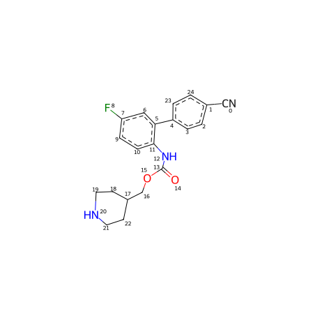 N#Cc1ccc(-c2cc(F)ccc2NC(=O)OCC2CCNCC2)cc1